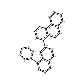 c1ccc2c(c1)-c1cccc3ccc(-c4cccc5c4ccc4ccccc45)c-2c13